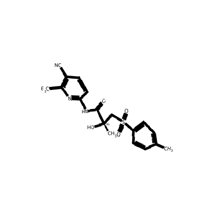 Cc1ccc(S(=O)(=O)C[C@](C)(O)C(=O)Nc2ccc(C#N)c(C(F)(F)F)n2)cc1